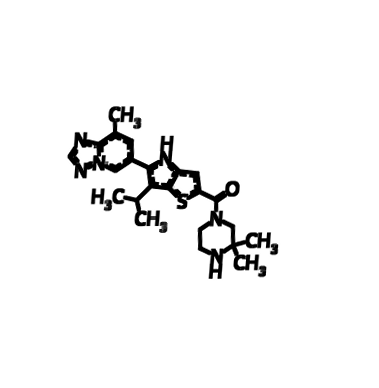 Cc1cc(-c2[nH]c3cc(C(=O)N4CCNC(C)(C)C4)sc3c2C(C)C)cn2ncnc12